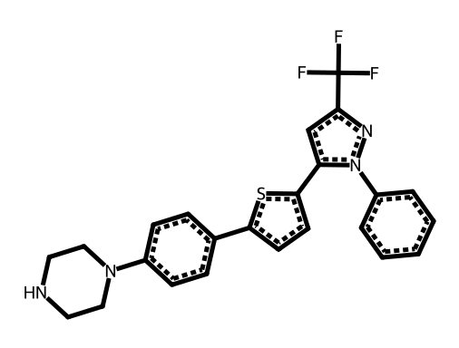 FC(F)(F)c1cc(-c2ccc(-c3ccc(N4CCNCC4)cc3)s2)n(-c2ccccc2)n1